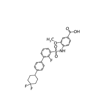 COc1cc(C(=O)O)ccc1NS(=O)(=O)c1cccc(-c2ccc(C3CCC(F)(F)CC3)cc2)c1F